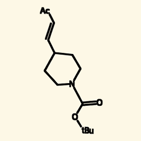 CC(=O)/C=C/C1CCN(C(=O)OC(C)(C)C)CC1